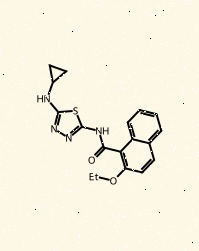 CCOc1ccc2ccccc2c1C(=O)Nc1nnc(NC2CC2)s1